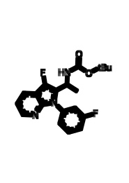 CC(NC(=O)OC(C)(C)C)c1c(F)c2cccnc2n1-c1cccc(F)c1